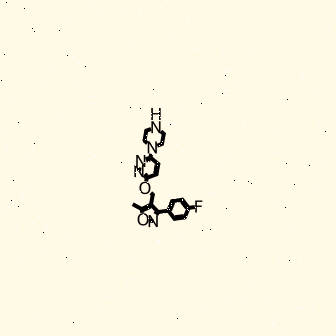 Cc1onc(-c2ccc(F)cc2)c1COc1ccc(N2CCNCC2)nn1